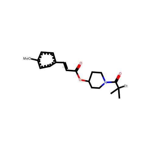 CCC(C)(C)C(=O)N1CCC(OC(=O)/C=C/c2ccc(OC)cc2)CC1